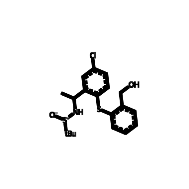 CC(N[S+]([O-])C(C)(C)C)c1cc(Cl)ccc1Sc1ccccc1CO